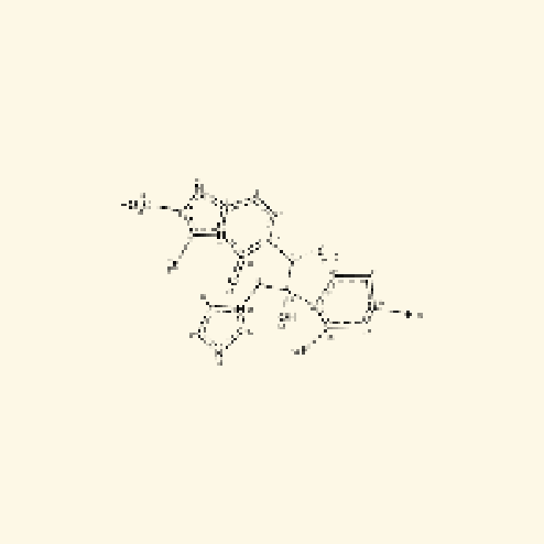 CCc1c(C(=O)O)nc2ccn([C@H](C)[C@](O)(Cn3cncn3)c3ccc(F)cc3F)c(=O)n12